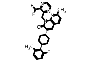 Cc1ccc2cc([C@H]3CC[C@H](c4c(C)cccc4F)CC3)c(=O)n(Cc3nccnc3C(F)F)c2n1